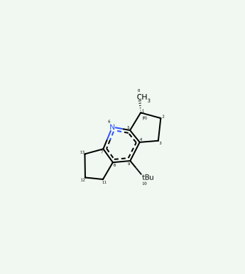 C[C@@H]1CCc2c1nc1c(c2C(C)(C)C)CCC1